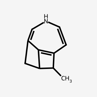 CC1C2=C3C(=CNC=C2)CC31